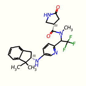 CN(C(=O)[C@@H]1CNC(=O)C1)C(c1ccc(N[C@H]2Cc3ccccc3C2(C)C)cn1)C(F)(F)F